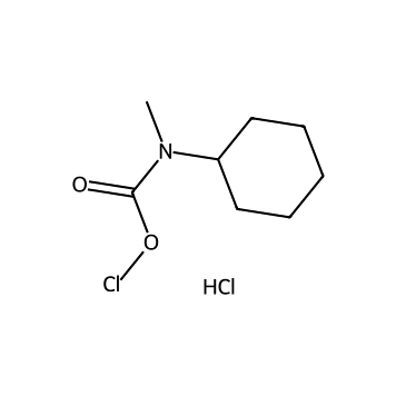 CN(C(=O)OCl)C1CCCCC1.Cl